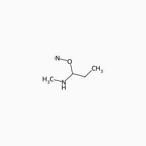 CCC(NC)O[N]